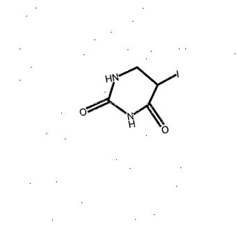 O=C1NCC(I)C(=O)N1